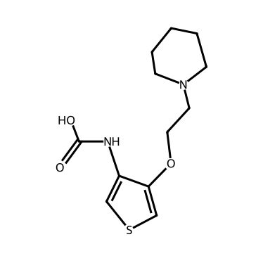 O=C(O)Nc1cscc1OCCN1CCCCC1